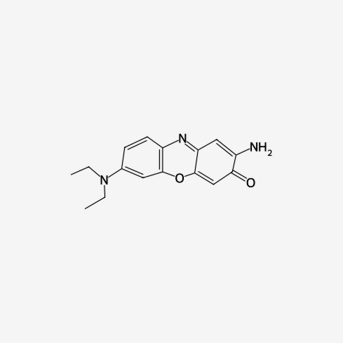 CCN(CC)c1ccc2nc3cc(N)c(=O)cc-3oc2c1